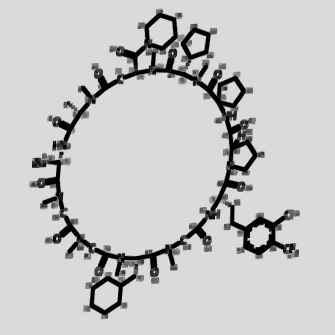 CC[C@H](C)[C@@H]1NC(=O)[C@H](C)N(C)C(=O)C[C@@H](C(=O)N2CCCCC2)N(C)C(=O)[C@H](C2CCCC2)N(C)C(=O)C2(CCCC2)NC(=O)[C@@H]2CCCN2C(=O)[C@H](CCc2ccc(C(F)(F)F)c(Cl)c2)NC(=O)CN(C)C(=O)[C@H](CC2CCCCC2)N(C)C(=O)CN(C)C(=O)CN(C)C1=O